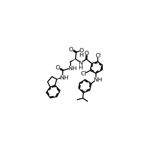 CC(C)c1cccc(Nc2ccc(Cl)c(C(=O)N[C@@H](CNC(=O)N[C@@H]3CCc4ccccc43)C(=O)O)c2Cl)c1